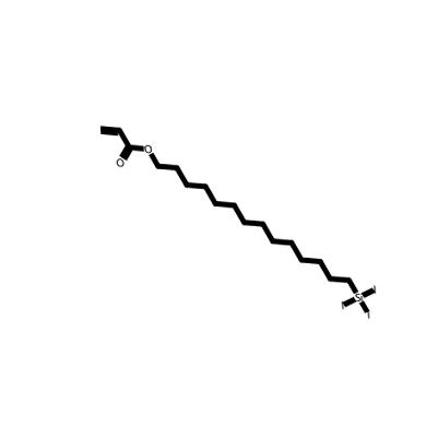 C=CC(=O)OCCCCCCCCCCCCCC[Si](I)(I)I